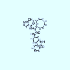 Cn1nccc1C(=O)NC(C(=O)Nc1ccc2c(c1)NC(=O)C21CCOCC1)C1CCCCCCCC1